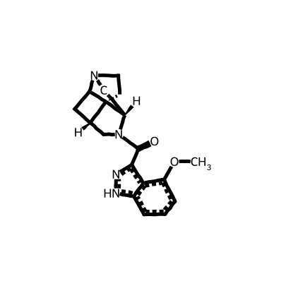 COc1cccc2[nH]nc(C(=O)N3C[C@@H]4CC5N6CC[C@@]54[C@@H]3C6)c12